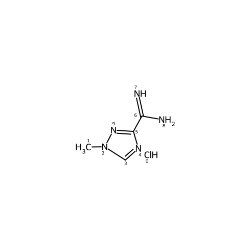 Cl.Cn1cnc(C(=N)N)n1